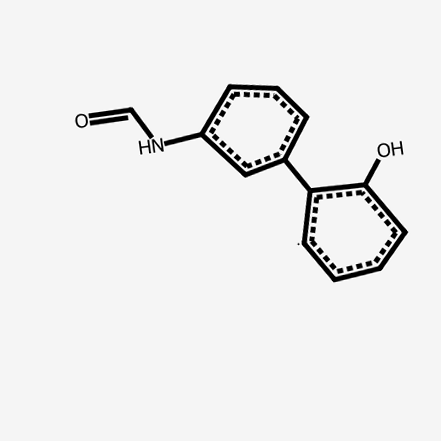 O=CNc1cccc(-c2[c]cccc2O)c1